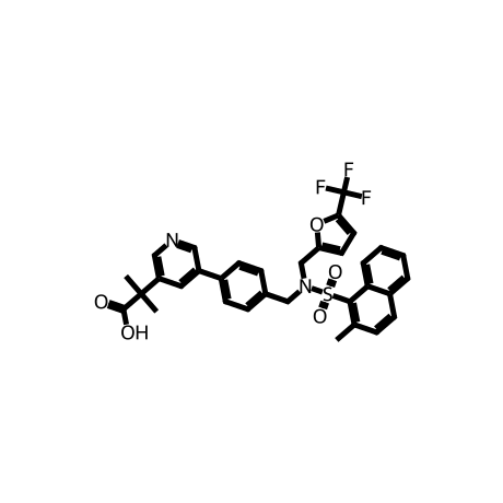 Cc1ccc2ccccc2c1S(=O)(=O)N(Cc1ccc(-c2cncc(C(C)(C)C(=O)O)c2)cc1)Cc1ccc(C(F)(F)F)o1